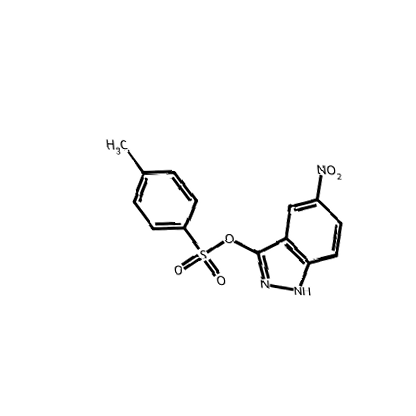 Cc1ccc(S(=O)(=O)Oc2n[nH]c3ccc([N+](=O)[O-])cc23)cc1